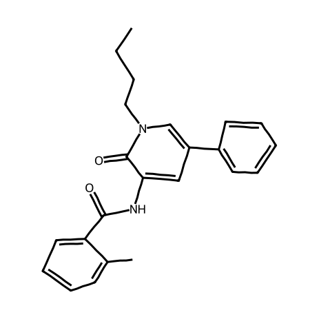 CCCCn1cc(-c2ccccc2)cc(NC(=O)c2ccccc2C)c1=O